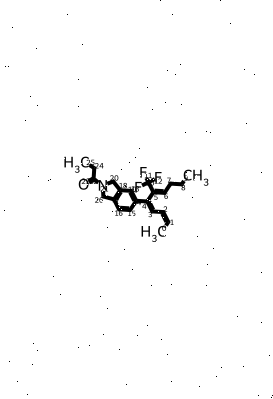 C\C=C/C=C(\C(=C\CCC)C(F)(F)F)c1ccc2c(c1)CN(C(=O)CC)C2